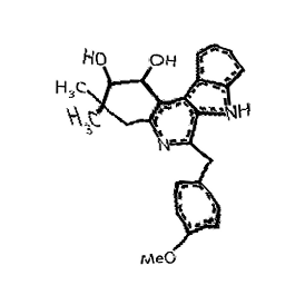 COc1ccc(Cc2nc3c(c4c2[nH]c2ccccc24)C(O)C(O)C(C)(C)C3)cc1